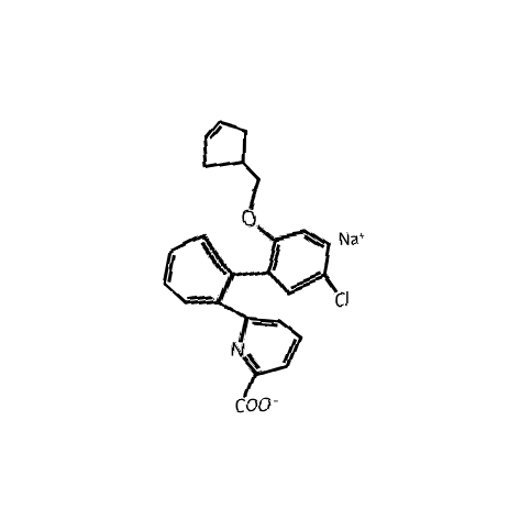 O=C([O-])c1cccc(-c2ccccc2-c2cc(Cl)ccc2OCC2CC=CC2)n1.[Na+]